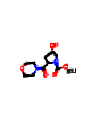 CC(C)(C)OC(=O)N1C[C@@H](O)C[C@@H]1C(=O)N1CCOCC1